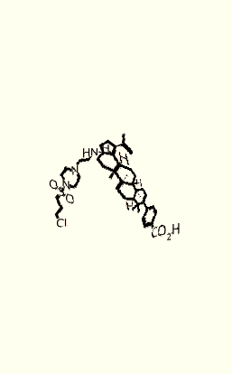 C=C(C)[C@@H]1CC[C@]2(NCCN3CCN(S(=O)(=O)CCCCl)CC3)CC[C@]3(C)[C@H](CC[C@@H]4[C@@]5(C)CC=C(c6ccc(C(=O)O)cc6)C(C)(C)[C@@H]5CC[C@]43C)[C@@H]12